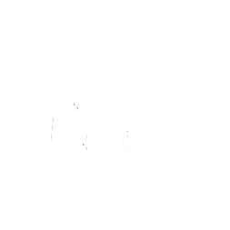 C=C/C(C(=C)C)=C1/N=CC=CN1C